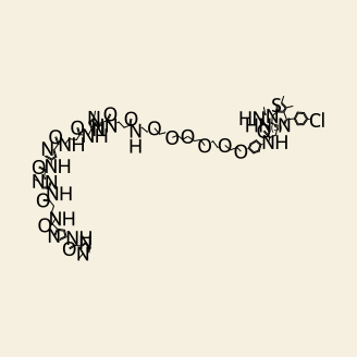 CC(=N)N1C(=N)[C@H](CC(=O)Nc2ccc(OCCOCCOCCOCCOCCOCCNC(=O)CCNC(=O)c3nc(NC(=O)CCNC(=O)c4cc(NC(=O)c5nc(NC(=O)CCNC(=O)c6cc(NC(=O)c7nccn7C)cn6C)cn5C)cn4C)cn3C)cc2)N=C(c2ccc(Cl)cc2)c2c1sc(C)c2C